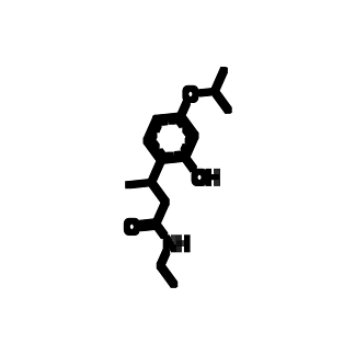 CCNC(=O)CC(C)c1ccc(OC(C)C)cc1O